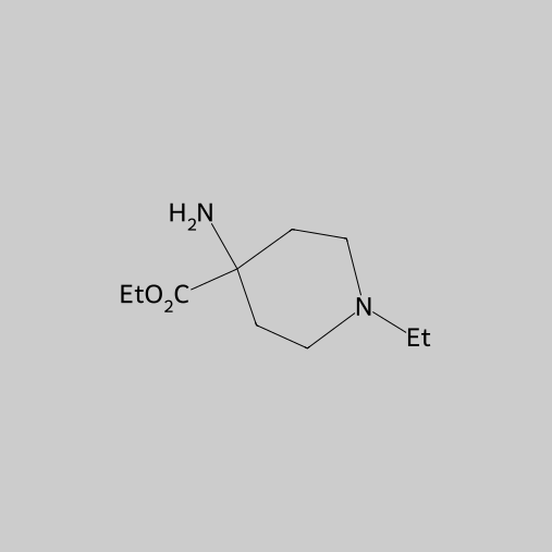 CCOC(=O)C1(N)CCN(CC)CC1